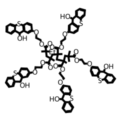 CCC(C)(CC(C)(CC(C)(CC(C)(CC(C)(C)C(=O)OCCOc1ccc2c(c1)C(O)c1ccccc1S2)C(=O)OCCOc1ccc2c(c1)C(O)c1ccccc1S2)C(=O)OCCOc1ccc2c(c1)C(O)c1ccccc1S2)C(=O)OCCOc1ccc2c(c1)C(O)c1ccccc1S2)C(=O)OCCOc1ccc2c(c1)C(O)c1ccccc1S2